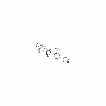 Oc1cc(-c2cn[nH]c2)ccc1-c1nnc(O[C@@H]2C3CCC(NC3)C2F)s1